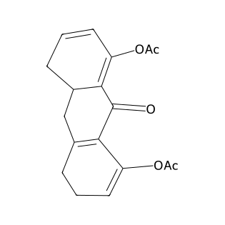 CC(=O)OC1=CCCC2=C1C(=O)C1=C(OC(C)=O)C=CCC1C2